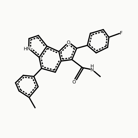 CNC(=O)c1c(-c2ccc(F)cc2)oc2c1cc(-c1cccc(C)c1)c1[nH]ccc12